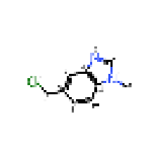 Cn1cnc2cc(CCl)ccc21